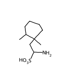 CC1CCCCC1(C)CC(N)S(=O)(=O)O